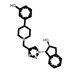 Oc1cccc(C2CCN(Cc3cn([C@H]4c5ccccc5C[C@@H]4O)nn3)CC2)c1